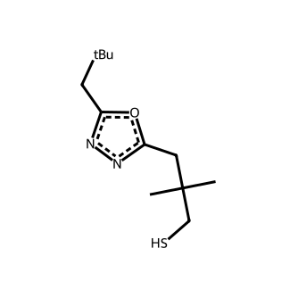 CC(C)(C)Cc1nnc(CC(C)(C)CS)o1